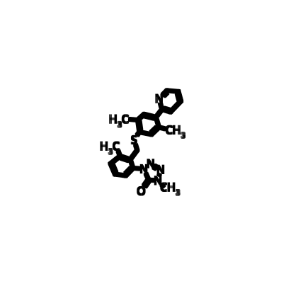 Cc1cc(-c2ccccn2)c(C)cc1SCc1c(C)cccc1-n1nnn(C)c1=O